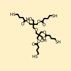 O=C(CCCS)OCC(CO)(COCC(CO)(COC(=O)CCCS)COC(=O)CCCS)COC(=O)CCCS